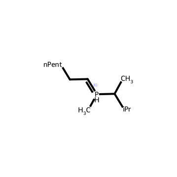 CCCCCC/C=[PH](\C)C(C)C(C)C